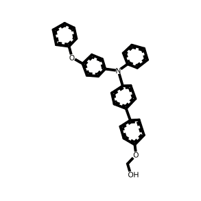 OCOc1ccc(-c2ccc(N(c3ccccc3)c3ccc(Oc4ccccc4)cc3)cc2)cc1